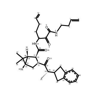 C=CCCNC(=O)C(=O)C(CCC=C)NC(=O)[C@@H]1[C@@H]2[C@H](CN1C(=O)[C@@H](C)C1Cc3ccccc3C1)C2(C)C